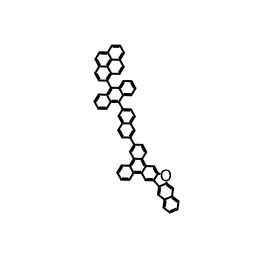 c1ccc2cc3c(cc2c1)oc1cc2c4ccc(-c5ccc6cc(-c7c8ccccc8c(-c8ccc9ccc%10cccc%11ccc8c9c%10%11)c8ccccc78)ccc6c5)cc4c4ccccc4c2cc13